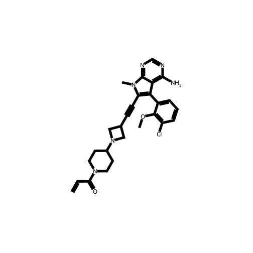 C=CC(=O)N1CCC(N2CC(C#Cc3c(-c4cccc(Cl)c4OC)c4c(N)ncnc4n3C)C2)CC1